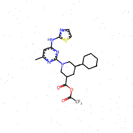 Cc1cc(Nc2nccs2)nc(N2CC(C(=O)OC(=O)C(F)(F)F)CC(C3CCCCC3)C2)n1